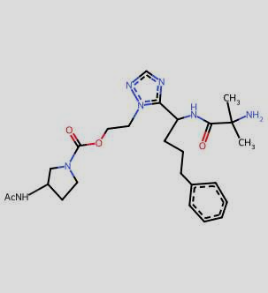 CC(=O)NC1CCN(C(=O)OCCn2ncnc2C(CCCc2ccccc2)NC(=O)C(C)(C)N)C1